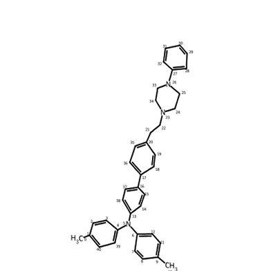 Cc1ccc(N(c2ccc(C)cc2)c2ccc(-c3ccc(CCN4CCN(c5ccccc5)CC4)cc3)cc2)cc1